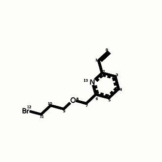 C=Cc1cccc(COCCCBr)n1